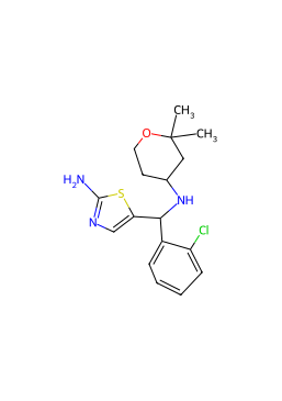 CC1(C)CC(NC(c2cnc(N)s2)c2ccccc2Cl)CCO1